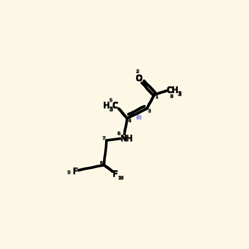 CC(=O)/C=C(\C)NCC(F)F